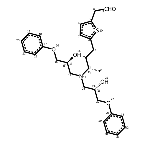 C[C@@H](CCc1ccc(CC=O)s1)N(C[C@H](O)COc1ccccc1)C[C@H](O)COc1ccccc1